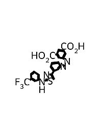 O=C(O)c1cc(/N=N\c2cccc(-c3csc(Nc4cccc(C(F)(F)F)c4)n3)c2)cc(C(=O)O)c1